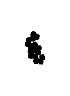 c1ccc(-c2cccc3c2sc2c(-c4cccc(-c5cccc6c5sc5c(-c7ccc8c9ccccc9c9ccccc9c8c7)c(-c7cc(-c8cccc(-c9cccc(-c%10cc%11c%12ccccc%12c%12ccccc%12c%11cn%10)c9)c8)c8sc9ccccc9c8c7)ccc56)c4)cccc23)cc1